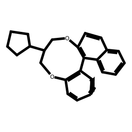 c1ccc2c3c(ccc2c1)OCC(C1CCCC1)COc1ccc2ccccc2c1-3